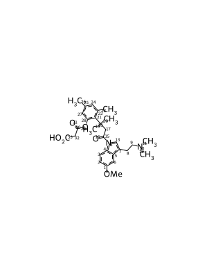 COc1ccc2c(c1)c(CCN(C)C)cn2C(=O)CC(C)(C)c1c(C)cc(C)cc1OC(=O)CC(=O)O